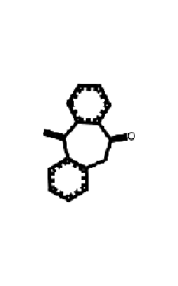 C=C1c2ccccc2CC(=O)c2ccccc21